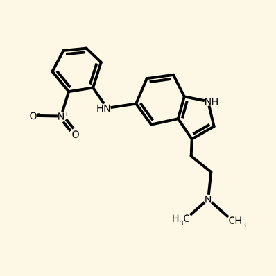 CN(C)CCc1c[nH]c2ccc(Nc3ccccc3[N+](=O)[O-])cc12